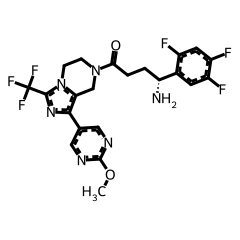 COc1ncc(-c2nc(C(F)(F)F)n3c2CN(C(=O)CC[C@@H](N)c2cc(F)c(F)cc2F)CC3)cn1